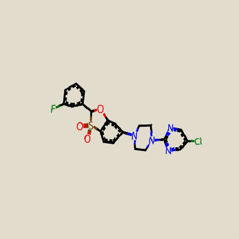 O=S1(=O)c2ccc(N3CCN(c4ncc(Cl)cn4)CC3)cc2OC1c1cccc(F)c1